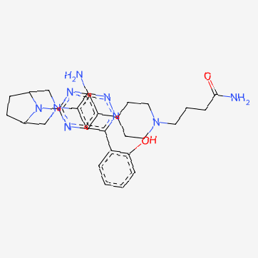 NC(=O)CCCN1CCC(c2cnc(N3C4CCC3CN(c3cc(-c5ccccc5O)nnc3N)C4)nc2)CC1